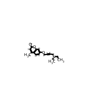 CCN(CC)CC#CCOc1ccc2c(C)cc(=O)oc2c1